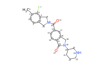 Cc1ccc2c(c1F)CN(C(=O)c1ccc3c(c1)CN(C1CCCNC1)C3=O)C2